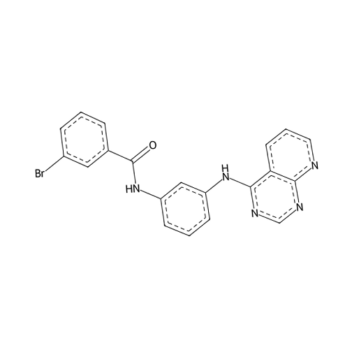 O=C(Nc1cccc(Nc2ncnc3ncccc23)c1)c1cccc(Br)c1